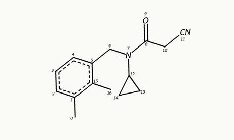 Cc1cccc(CN(C(=O)CC#N)C2CC2)c1C